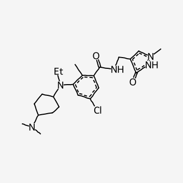 CCN(c1cc(Cl)cc(C(=O)NCc2cn(C)[nH]c2=O)c1C)C1CCC(N(C)C)CC1